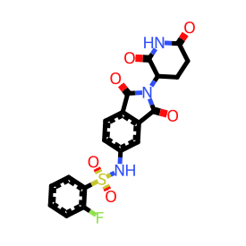 O=C1CCC(N2C(=O)c3ccc(NS(=O)(=O)c4ccccc4F)cc3C2=O)C(=O)N1